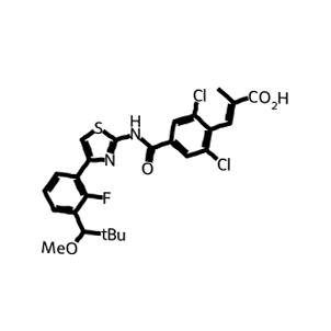 COC(c1cccc(-c2csc(NC(=O)c3cc(Cl)c(/C=C(\C)C(=O)O)c(Cl)c3)n2)c1F)C(C)(C)C